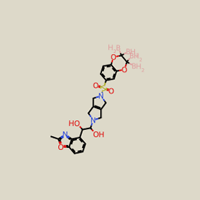 BC1(B)Oc2ccc(S(=O)(=O)N3CC4=C(CN(C(O)C(O)c5cccc6oc(C)nc56)C4)C3)cc2OC1(B)B